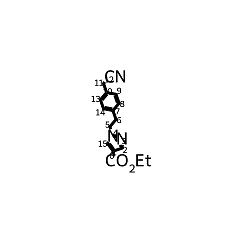 CCOC(=O)c1cnn(CCc2ccc(CC#N)cc2)c1